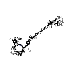 C=CC(C)C(CC)(CC)N[C@@H](CCCCN)C(=O)NC(=O)CCOCCOCCOCCOCCNC(=O)OCc1ccc(CCC(C)[C@@H]2C/C=C/C(=O)N[C@H](Cc3ccc(OC)c(Cl)c3)C(=O)NCC(C)(C)C(=O)O[C@@H](CC(C)C)C(=O)O2)cc1